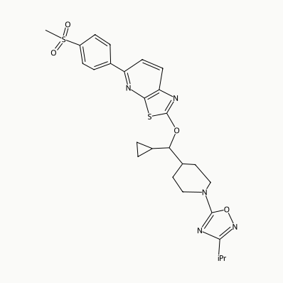 CC(C)c1noc(N2CCC(C(Oc3nc4ccc(-c5ccc(S(C)(=O)=O)cc5)nc4s3)C3CC3)CC2)n1